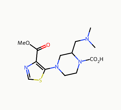 COC(=O)c1ncsc1N1CCN(C(=O)O)C(CN(C)C)C1